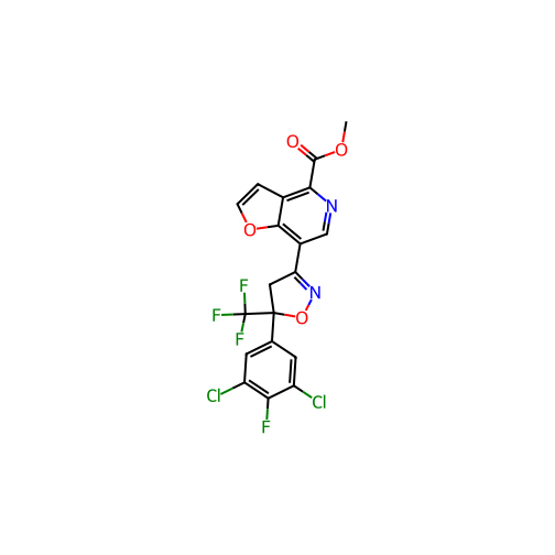 COC(=O)c1ncc(C2=NOC(c3cc(Cl)c(F)c(Cl)c3)(C(F)(F)F)C2)c2occc12